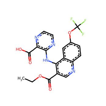 CCOC(=O)c1cnc2ccc(OC(F)(F)F)cc2c1Nc1nccnc1C(=O)O